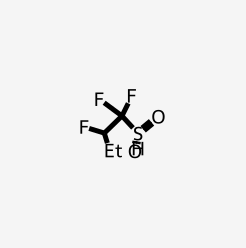 CCC(F)C(F)(F)[SH](=O)=O